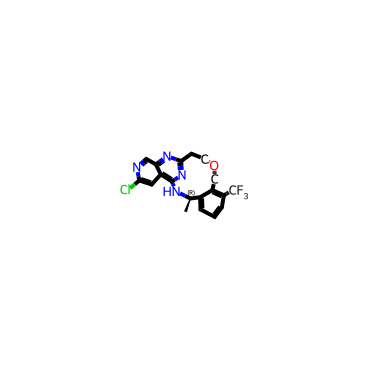 C[C@H]1Nc2nc(nc3cnc(Cl)cc23)CCOCc2c1cccc2C(F)(F)F